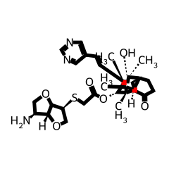 CC1CC[C@@]23CCC(=O)[C@H]2[C@]1(C)[C@H](OC(=O)CS[C@H]1CO[C@H]2C1OC[C@@H]2N)C[C@](C)(/C=C/c1cncnc1)[C@@H](O)[C@@H]3C